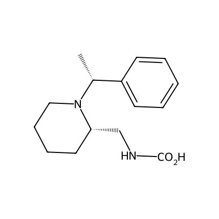 C[C@H](c1ccccc1)N1CCCC[C@H]1CNC(=O)O